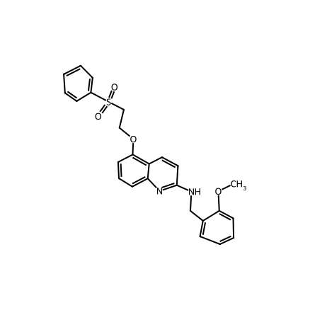 COc1ccccc1CNc1ccc2c(OCCS(=O)(=O)c3ccccc3)cccc2n1